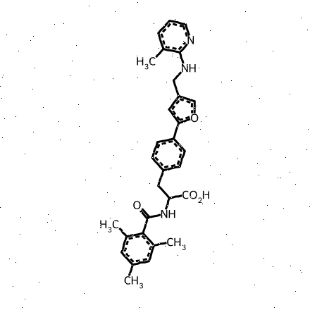 Cc1cc(C)c(C(=O)NC(Cc2ccc(-c3cc(CNc4ncccc4C)co3)cc2)C(=O)O)c(C)c1